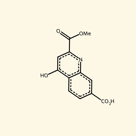 COC(=O)c1cc(O)c2ccc(C(=O)O)cc2n1